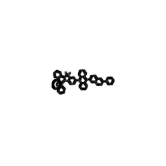 CC1(C)c2cc(-c3c4ccccc4c(-c4ccc5cc(-c6ccccc6)ccc5c4)c4ccccc34)ccc2-c2c1c1ccccc1c1oc3ccccc3c21